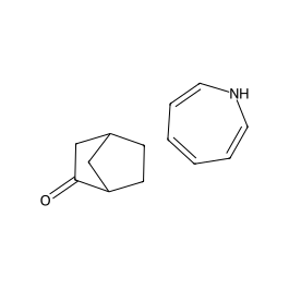 C1=CC=CNC=C1.O=C1CC2CCC1C2